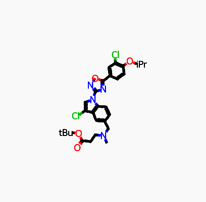 CC(C)Oc1ccc(-c2nc(-n3cc(Cl)c4cc(CN(C)CCC(=O)OC(C)(C)C)ccc43)no2)cc1Cl